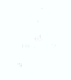 NC(=O)CCC(CP(=O)(O)C/C=C/c1ccccc1)C(=O)O